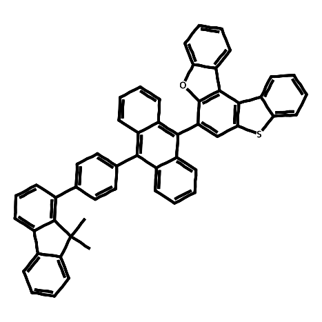 CC1(C)c2ccccc2-c2cccc(-c3ccc(-c4c5ccccc5c(-c5cc6sc7ccccc7c6c6c5oc5ccccc56)c5ccccc45)cc3)c21